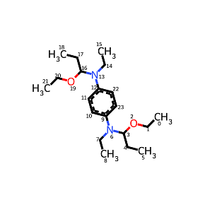 CCOC(CC)N(CC)c1ccc(N(CC)C(CC)OCC)cc1